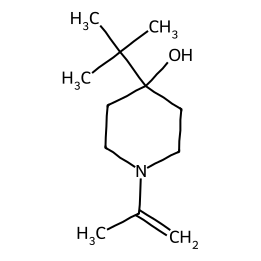 C=C(C)N1CCC(O)(C(C)(C)C)CC1